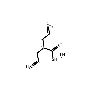 C=CCN(CC=C)C(=S)S.[KH]